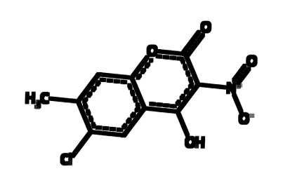 Cc1cc2oc(=O)c([N+](=O)[O-])c(O)c2cc1Cl